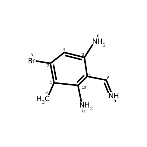 Cc1c(Br)cc(N)c(C=N)c1N